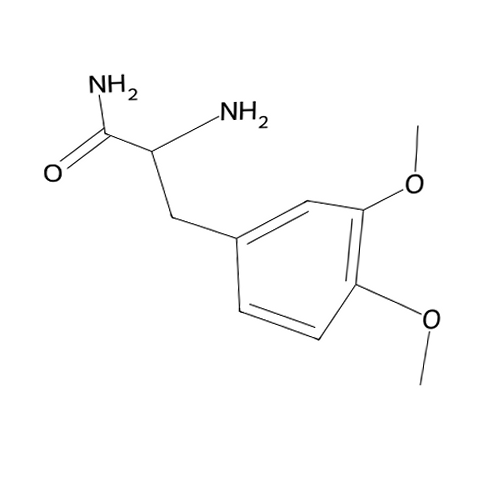 COc1ccc(CC(N)C(N)=O)cc1OC